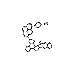 N#Cc1ccc(-c2ccc3ccc4ccc(-c5ccc6c(c5)c5ccccc5c5ccc7c8cc9ccccc9cc8sc7c56)c5ccc2c3c45)cc1